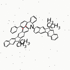 CC1(C)c2cc3ccccc3cc2-c2cc3ccc(N(c4ccc5cc6c(cc5c4)C(C)(C)c4cc5ccccc5cc4-6)c4ccccc4-c4ccc(-c5ccccc5)cc4)cc3cc21